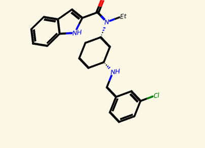 CCN(C(=O)c1cc2ccccc2[nH]1)[C@H]1CCC[C@@H](NCc2cccc(Cl)c2)C1